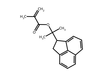 C=C(C)C(=O)OC(C)(C)C1Cc2cccc3cccc1c23